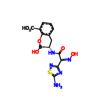 Nc1nc(/C(=N/O)C(=O)N[C@H]2Cc3cccc(C(=O)O)c3OB2O)ns1